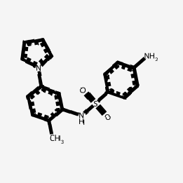 Cc1ccc(-n2cccc2)cc1NS(=O)(=O)c1ccc(N)cc1